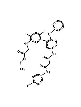 Cc1cc(F)c(-c2cc(NC(=O)CC(=O)Nc3ccc(F)cc3)ccc2Oc2ccccc2)cc1NCC(=O)NCC(F)(F)F